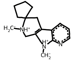 [CH2-][NH+]1C2=C(CC3(CCCC3)[NH+]([CH2-])C2)c2cccnc21